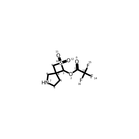 O=C(OC1C2(CCNC2)CS1(=O)=O)C(F)(F)F